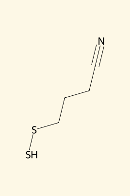 N#CCCCSS